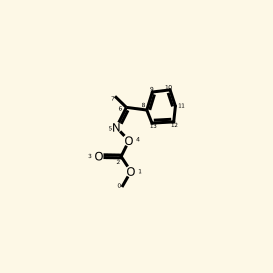 COC(=O)O/N=C(/C)c1ccccc1